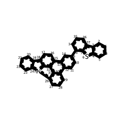 c1ccc2c(c1)sc1c(-c3ccc4c(c3)c3ccc5c6ccccc6n6c7cccc4c7c3c56)cccc12